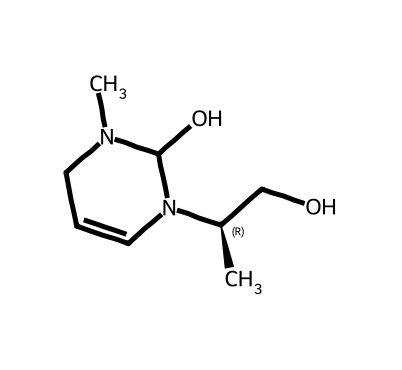 C[C@H](CO)N1C=CCN(C)C1O